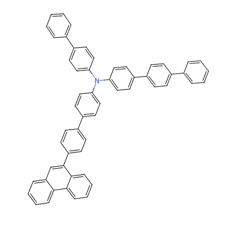 c1ccc(-c2ccc(-c3ccc(N(c4ccc(-c5ccccc5)cc4)c4ccc(-c5ccc(-c6cc7ccccc7c7ccccc67)cc5)cc4)cc3)cc2)cc1